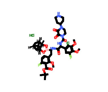 COc1c(F)cc(C(NC(=O)N2CCN(C3CCNCC3)C(=O)C2=O)C(=O)NC(Cc2ccc(F)c(C(=O)OC(C)(C)C)c2OC)B2O[C@@H]3C[C@@H]4C[C@@H](C4(C)C)[C@]3(C)O2)c(Cl)c1OC.Cl